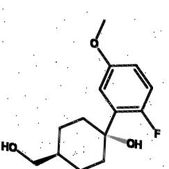 COc1ccc(F)c([C@]2(O)CC[C@H](CO)CC2)c1